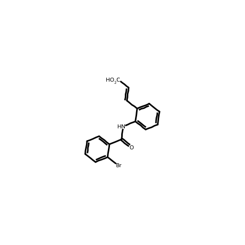 O=C(O)/C=C/c1ccccc1NC(=O)c1ccccc1Br